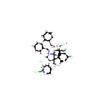 O=C1Nc2cc(Cl)ccc2C12[C@@H](c1ccnc(Cl)c1F)CN([C@H](c1ccccc1)C(O)c1ccccc1)C21CC(CF)(CF)C1